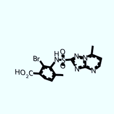 Cc1ccc(C(=O)O)c(Br)c1NS(=O)(=O)c1nc2nccc(C)n2n1